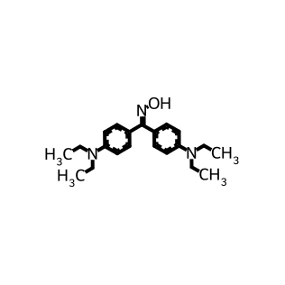 CCN(CC)c1ccc(C(=NO)c2ccc(N(CC)CC)cc2)cc1